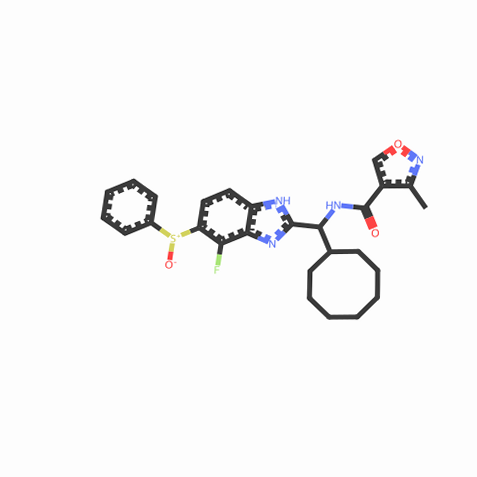 Cc1nocc1C(=O)NC(c1nc2c(F)c([S+]([O-])c3ccccc3)ccc2[nH]1)C1CCCCCCC1